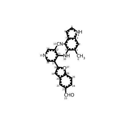 Cc1cc2[nH]ccc2cc1Nc1c(C#N)cncc1-c1cc2cc(C=O)ccc2o1